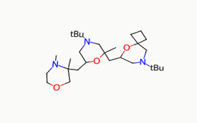 CN1CCOCC1(C)CC1CN(C(C)(C)C)CC(C)(CC2CN(C(C)(C)C)CC3(CCC3)O2)O1